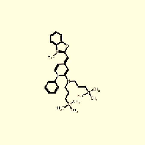 C[n+]1c(/C=C2\C=CN(c3ccccc3)C(N(CCC[N+](C)(C)C)CCC[N+](C)(C)C)=C2)oc2ccccc21